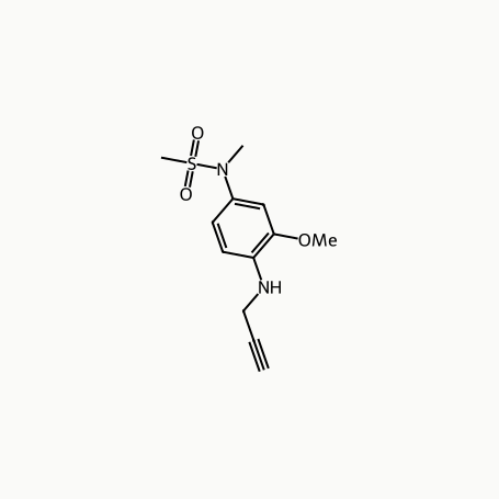 C#CCNc1ccc(N(C)S(C)(=O)=O)cc1OC